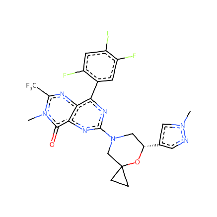 Cn1cc([C@H]2CN(c3nc(-c4cc(F)c(F)cc4F)c4nc(C(F)(F)F)n(C)c(=O)c4n3)CC3(CC3)O2)cn1